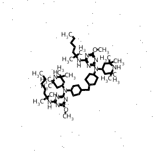 CCCCCC(C)(C)Nc1nc(OC)nc(N(C2CCC(CC3CCC(N(c4nc(NC(C)(C)CCCCC)nc(OC)n4)C4CC(C)(C)NC(C)(C)C4)CC3)CC2)C2CC(C)(C)NC(C)(C)C2)n1